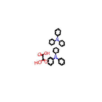 O=C(O)C(=O)O.c1ccc(N(c2ccccc2)c2ccccc2)cc1.c1ccc(N(c2ccccc2)c2ccccc2)cc1